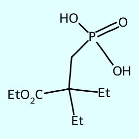 CCOC(=O)C(CC)(CC)CP(=O)(O)O